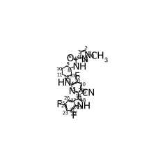 Cn1ccc(C(=O)N[C@@H]2CCC[C@@H](Nc3nc(-c4c[nH]c5c(F)cc(F)cc45)c(C#N)cc3F)C2)n1